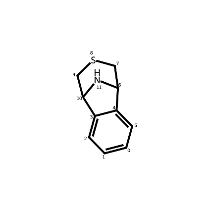 c1ccc2c(c1)C1CSCC2N1